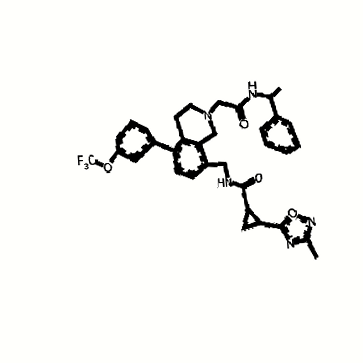 Cc1noc(C2CC2C(=O)NCc2ccc(-c3cccc(OC(F)(F)F)c3)c3c2CN(CC(=O)NC(C)c2ccccc2)CC3)n1